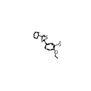 CCOc1ccc(-c2nc(-c3ccccc3)cs2)cc1OC